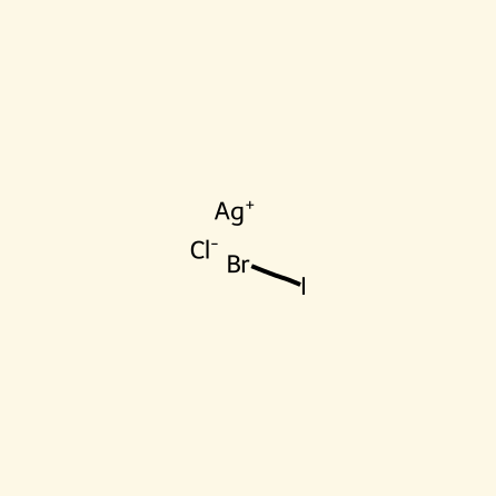 BrI.[Ag+].[Cl-]